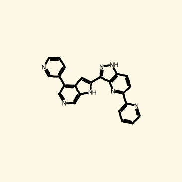 c1ccc(-c2ccc3[nH]nc(-c4cc5c(-c6cccnc6)cncc5[nH]4)c3n2)nc1